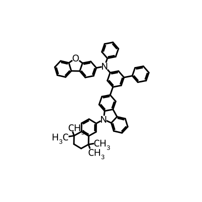 CC1(C)CCC(C)(C)c2cc(-n3c4ccccc4c4cc(-c5cc(-c6ccccc6)cc(N(c6ccccc6)c6ccc7c(c6)oc6ccccc67)c5)ccc43)ccc21